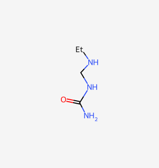 CCNCNC(N)=O